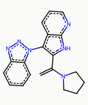 C=C(c1[nH]c2ncccc2c1-n1nnc2ccccc21)N1CCCC1